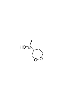 C[C@H](O)C1CCOOC1